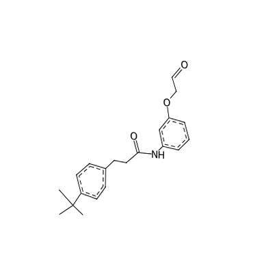 CC(C)(C)c1ccc(CCC(=O)Nc2cccc(OCC=O)c2)cc1